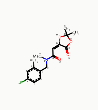 CON(Cc1ccc(F)cc1C(F)(F)F)C(=O)C=C1OC(C)(C)OC1=O